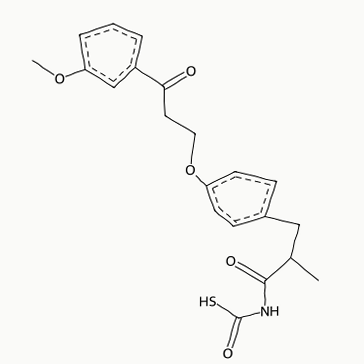 COc1cccc(C(=O)CCOc2ccc(CC(C)C(=O)NC(=O)S)cc2)c1